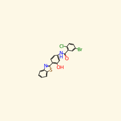 O=C(Nc1ccc(-c2nc3ccccc3s2)c(O)c1)c1cc(Br)ccc1Cl